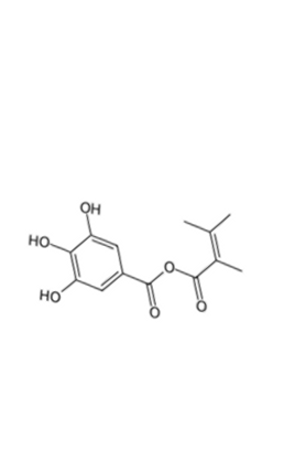 CC(C)=C(C)C(=O)OC(=O)c1cc(O)c(O)c(O)c1